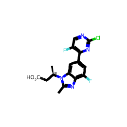 Cc1nc2c(F)cc(-c3nc(Cl)ncc3F)cc2n1[C@H](C)CC(=O)O